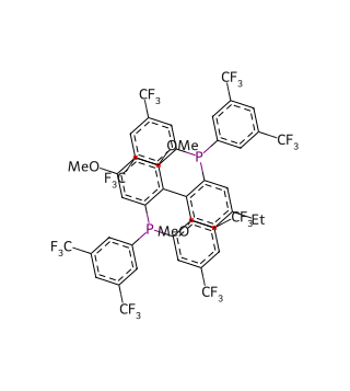 CCc1cc(OC)c(-c2c(OC)cc(OC)cc2P(c2cc(C(F)(F)F)cc(C(F)(F)F)c2)c2cc(C(F)(F)F)cc(C(F)(F)F)c2)c(P(c2cc(C(F)(F)F)cc(C(F)(F)F)c2)c2cc(C(F)(F)F)cc(C(F)(F)F)c2)c1